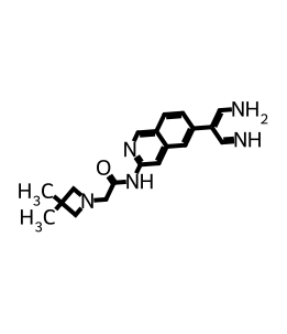 CC1(C)CN(CC(=O)Nc2cc3cc(/C(C=N)=C/N)ccc3cn2)C1